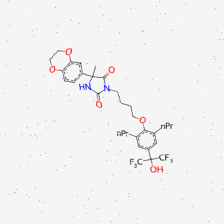 CCCc1cc(C(O)(C(F)(F)F)C(F)(F)F)cc(CCC)c1OCCCCN1C(=O)NC(C)(c2ccc3c(c2)OCCO3)C1=O